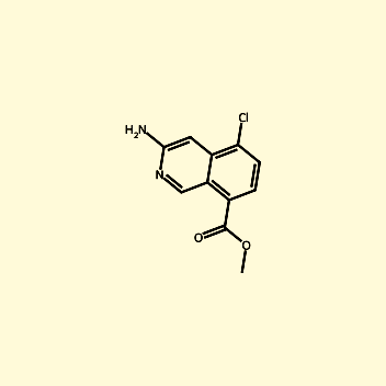 COC(=O)c1ccc(Cl)c2cc(N)ncc12